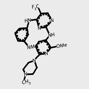 CNc1cccc(Nc2nc(Nc3ccc(N4CCN(C)CC4)nc3OC)ncc2C(F)(F)F)c1